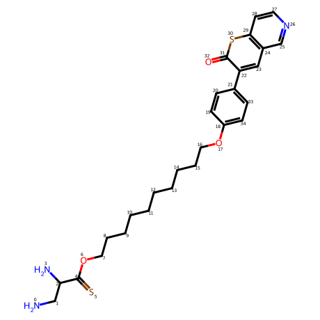 NCC(N)C(=S)OCCCCCCCCCCOc1ccc(-c2cc3cnccc3sc2=O)cc1